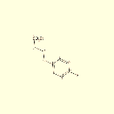 CCOC(=O)CCOc1ccc(F)cc1